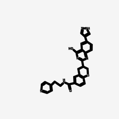 O=C(NCCc1ccncc1)c1ccc2c(c1)CC(c1nc(O)c3cc(-c4cn[nH]c4)ccc3n1)CO2